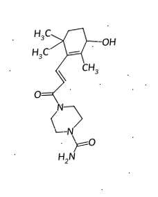 CC1=C(C=CC(=O)N2CCN(C(N)=O)CC2)C(C)(C)CCC1O